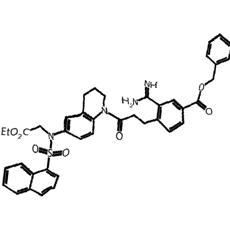 CCOC(=O)CN(c1ccc2c(c1)CCCN2C(=O)CCc1ccc(C(=O)OCc2ccccc2)cc1C(=N)N)S(=O)(=O)c1cccc2ccccc12